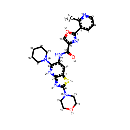 Cc1ncccc1-c1nc(C(=O)Nc2cc3sc(N4CCOCC4)nc3nc2N2CCCCC2)co1